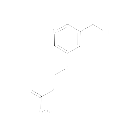 COC(=O)CCSc1cncc(CO)c1